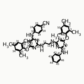 Cc1cc(C)c(Oc2nc(NCCNc3nc(Nc4ccc(C#N)cc4)nc(Oc4c(C)cc(C)cc4C)n3)nc(Nc3ccccc3)n2)c(C)c1